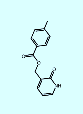 O=C(OCc1ccc[nH]c1=O)c1ccc(I)cc1